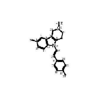 CCN1CCc2c(c3cc(C)ccc3n2C=Cc2ccc(C)cc2)C1